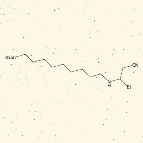 CCCCCCCCCCCCCCCCCCNC(CC)CC#N